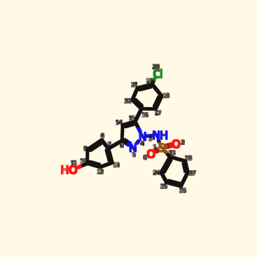 O=S(=O)(Nn1nc(-c2ccc(O)cc2)cc1-c1ccc(Cl)cc1)c1ccccc1